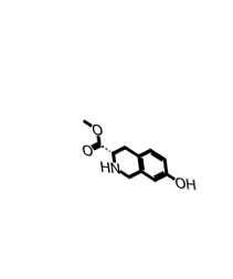 COC(=O)[C@@H]1Cc2ccc(O)cc2CN1